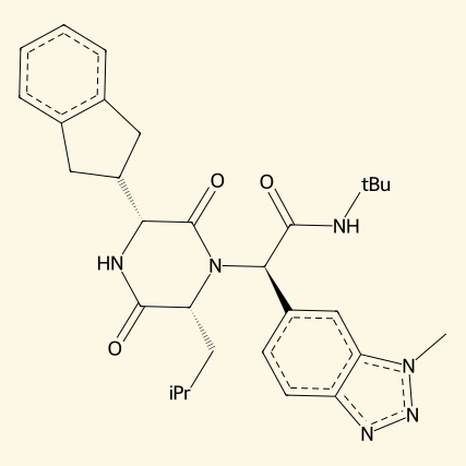 CC(C)C[C@@H]1C(=O)N[C@H](C2Cc3ccccc3C2)C(=O)N1[C@@H](C(=O)NC(C)(C)C)c1ccc2nnn(C)c2c1